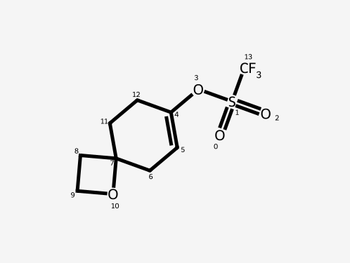 O=S(=O)(OC1=CCC2(CCO2)CC1)C(F)(F)F